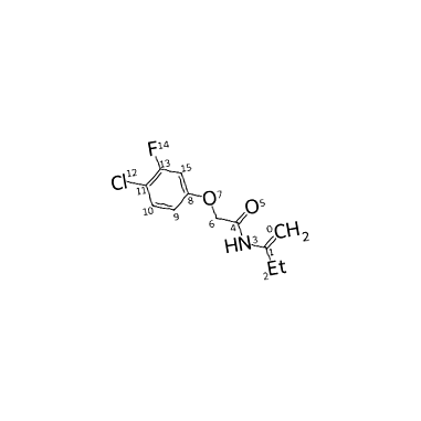 C=C(CC)NC(=O)COc1ccc(Cl)c(F)c1